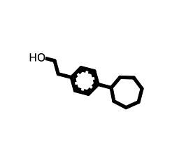 OCCc1ccc(C2CCCCCC2)cc1